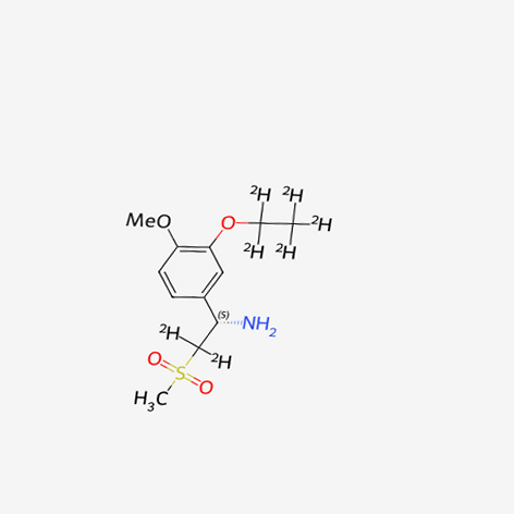 [2H]C([2H])([2H])C([2H])([2H])Oc1cc([C@H](N)C([2H])([2H])S(C)(=O)=O)ccc1OC